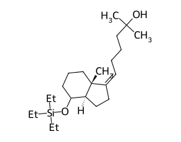 CC[Si](CC)(CC)OC1CCC[C@]2(C)/C(=C\CCCC(C)(C)O)CC[C@@H]12